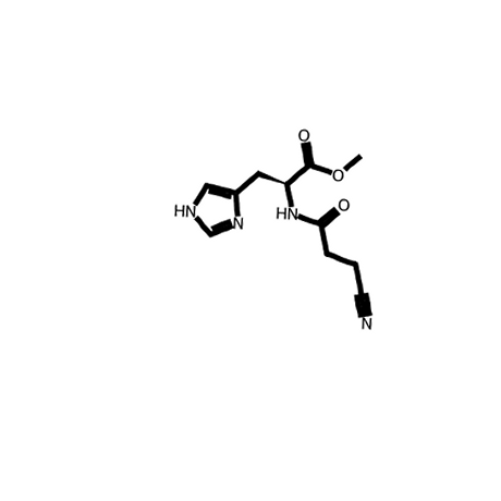 COC(=O)[C@H](Cc1c[nH]cn1)NC(=O)CCC#N